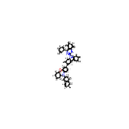 c1ccc(-c2nc(-n3c4ccccc4c4cc(-c5ccc6c(c5)Oc5ccccc5N6c5ccc6ccccc6c5)ccc43)nc3ccccc23)cc1